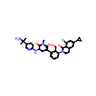 Cn1cc(-c2cccc(-n3ccc4cc(C5CC5)cc(F)c4c3=O)c2CO)cc(Nc2ccc(C(C)(C)N)cn2)c1=O